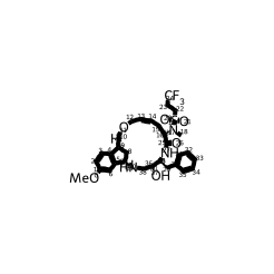 COc1ccc2c(c1)[C@@H]1C[C@@H]2COCC=CC[C@H](N(C)S(=O)(=O)CCC(F)(F)F)C(=O)N[C@@H](Cc2ccccc2)[C@H](O)CN1